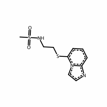 CS(=O)(=O)NCCSc1cccc2nccn12